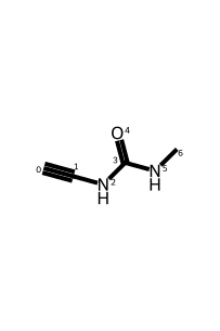 C#CNC(=O)NC